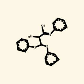 CCCC(C(S)=Nc1ccccc1)C(Sc1ccccc1)Sc1ccccc1